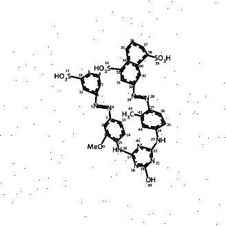 COc1cc(/N=N/c2cccc(S(=O)(=O)O)c2)ccc1Nc1nc(O)nc(Nc2ccc(/N=N/c3cc(S(=O)(=O)O)c4cccc(S(=O)(=O)O)c4c3)c(C)c2)n1